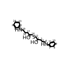 OC(CCCNc1ccccc1)CSCC(O)CCCNc1ccccc1